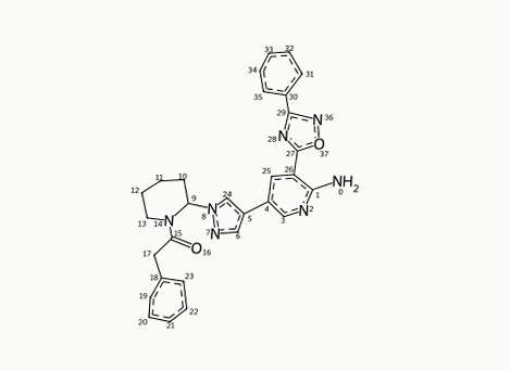 Nc1ncc(-c2cnn(C3CCCCN3C(=O)Cc3ccccc3)c2)cc1-c1nc(-c2ccccc2)no1